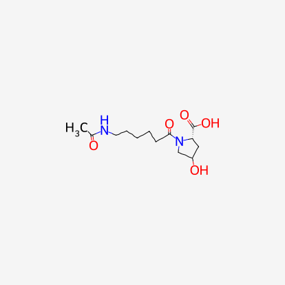 CC(=O)NCCCCCC(=O)N1CC(O)C[C@H]1C(=O)O